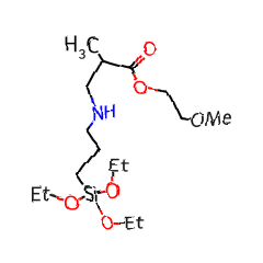 CCO[Si](CCCNCC(C)C(=O)OCCOC)(OCC)OCC